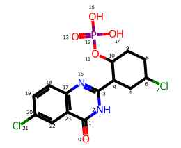 O=c1[nH]c(C2CC(Cl)CCC2OP(=O)(O)O)nc2ccc(Cl)cc12